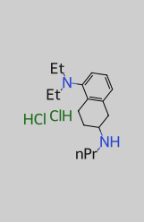 CCCNC1CCc2c(cccc2N(CC)CC)C1.Cl.Cl